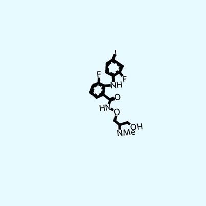 CNC(CO)CONC(=O)c1cccc(F)c1Nc1ccc(I)cc1F